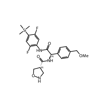 COCc1ccc([C@@H](NC(=O)[C@@H]2CNOC2)C(=O)Nc2cc(F)c([Si](C)(C)C)cc2F)cc1